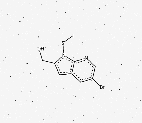 OCc1cc2cc(Br)cnc2n1SI